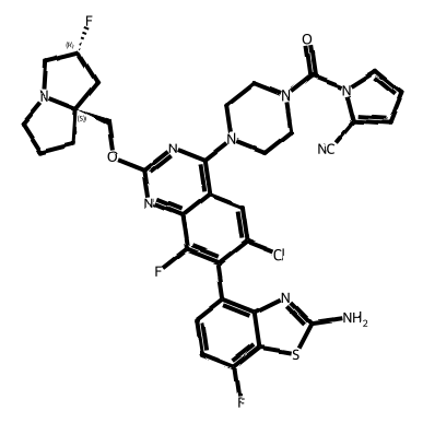 N#Cc1cccn1C(=O)N1CCN(c2nc(OC[C@@]34CCCN3C[C@H](F)C4)nc3c(F)c(-c4ccc(F)c5sc(N)nc45)c(Cl)cc23)CC1